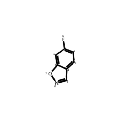 Fc1ccc2[c]noc2c1